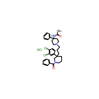 CC(C)(C)C(=O)NC1(c2ccccc2)CCN(CCCC2(c3ccc(Cl)c(Cl)c3)CCCN(C(=O)c3ccccc3)C2)CC1.Cl